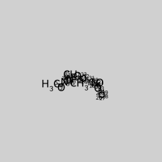 CC1OC1N1C[C@@H](C)N(CCOc2ccc(C3CCN(C(=O)OCc4ccccc4)CC3)cc2)[C@@H](C)C1